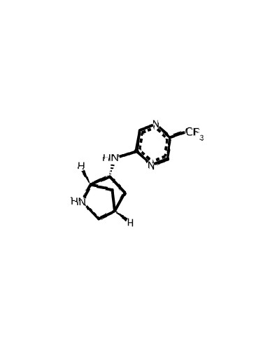 FC(F)(F)c1cnc(N[C@@H]2C[C@@H]3CN[C@H]2C3)cn1